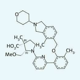 COC[C@H]1N(c2cccc(-c3cccc(C)c3OCc3ccc4c(c3C)CN(C3CCOCC3)C4)n2)CC[C@@]1(C)C(=O)O